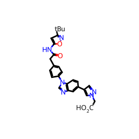 CC(C)(C)c1cc(NC(=O)Cc2ccc(-n3cnc4cc(-c5cnn(CC(=O)O)c5)ccc43)cc2)on1